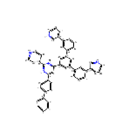 c1ccc(-c2ccc(-c3cc(-c4cc(-c5cccc(-c6cccnc6)c5)cc(-c5cccc(-c6cccnc6)c5)c4)nc(-c4ccncc4)n3)cc2)cc1